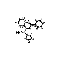 OC(c1ccsc1)c1cc(-c2ccccc2)nc2ccccc12